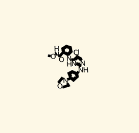 CONC(=O)c1ccccc1Nc1nc(Nc2ccc(N3CCOCC3)cc2)ncc1Cl